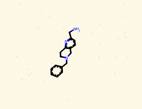 NCc1ccc2c(n1)CCN(Cc1ccccc1)C2